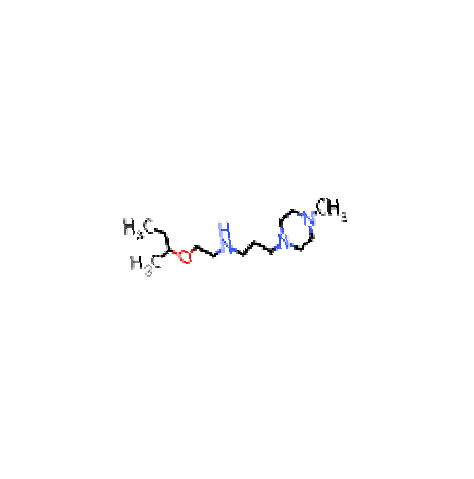 CCC(C)OCCNCCCN1CCN(C)CC1